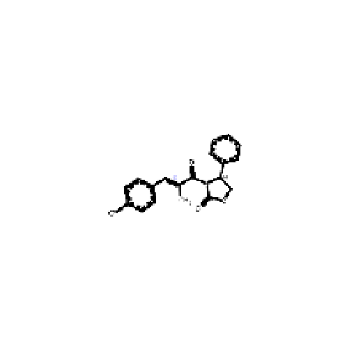 C/C(=C\c1ccc(Cl)cc1)C(=O)N1C(=O)OC[C@@H]1c1ccccc1